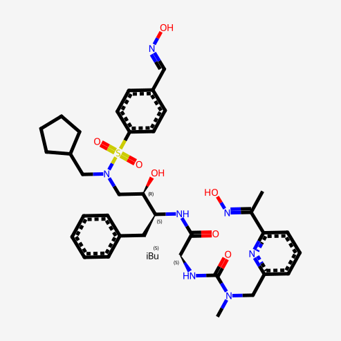 CC[C@H](C)[C@H](NC(=O)N(C)Cc1cccc(C(C)=NO)n1)C(=O)N[C@@H](Cc1ccccc1)[C@H](O)CN(CC1CCCC1)S(=O)(=O)c1ccc(C=NO)cc1